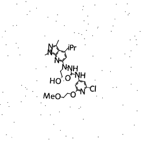 COCCOc1cc(NC(=O)NN(CCO)c2cc(C(C)C)c3c(C)nn(C)c3n2)cc(Cl)n1